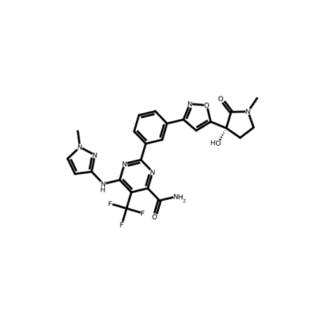 CN1CC[C@@](O)(c2cc(-c3cccc(-c4nc(Nc5ccn(C)n5)c(C(F)(F)F)c(C(N)=O)n4)c3)no2)C1=O